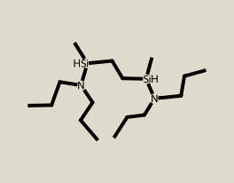 CCCN(CCC)[SiH](C)CC[SiH](C)N(CCC)CCC